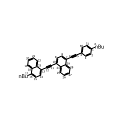 CCCCc1ccc(C#Cc2ccc(C#Cc3ccc(CCCC)c4ccccc34)c3ccccc23)cc1